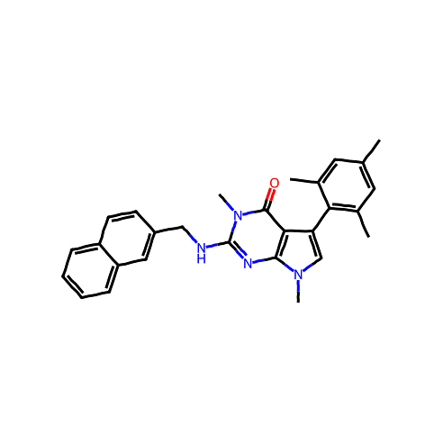 Cc1cc(C)c(-c2cn(C)c3nc(NCc4ccc5ccccc5c4)n(C)c(=O)c23)c(C)c1